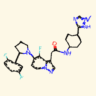 O=C(NC1CCC(c2ncn[nH]2)CC1)c1cnn2ccc(N3CCCC3c3cc(F)ccc3F)c(F)c12